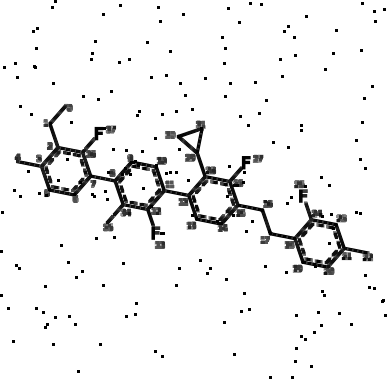 CCc1c(C)ccc(-c2ccc(-c3ccc(CCc4ccc(C)cc4F)c(F)c3C3CC3)c(F)c2C)c1F